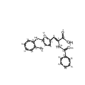 O=C(O)C(=Cc1ccc(Sc2ccccc2Br)o1)NC(=O)c1ccccc1